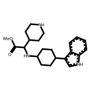 COC(=O)C(NC1CCC(c2c[nH]c3ccccc23)CC1)C1CCNCC1